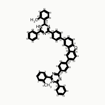 Cc1ccccc1-c1nc(-c2ccccc2)nc(-c2ccc(-c3ccc4oc5ccc(-c6ccc(C7=NC(c8ccccc8C)NC(c8ccccc8)=N7)cc6)cc5c4c3)cc2)n1